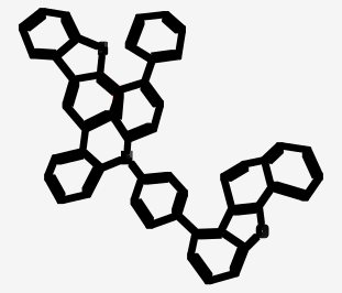 c1ccc(-c2ccc(N(c3ccc(-c4cccc5oc6c7ccccc7ccc6c45)cc3)c3ccccc3-c3ccc4sc5ccccc5c4c3)cc2)cc1